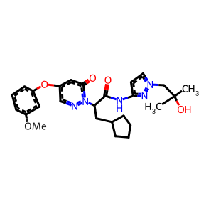 COc1cccc(Oc2cnn(C(CC3CCCC3)C(=O)Nc3ccn(CC(C)(C)O)n3)c(=O)c2)c1